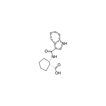 O=C(N[C@H]1CCCC[C@H]1C(=O)O)c1c[nH]c2ccccc12